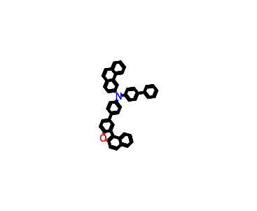 c1ccc(-c2ccc(N(c3ccc(-c4ccc5oc6ccc7ccccc7c6c5c4)cc3)c3ccc4ccc5ccccc5c4c3)cc2)cc1